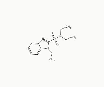 CCN(CC)S(=O)(=O)c1nc2ccccc2n1CC